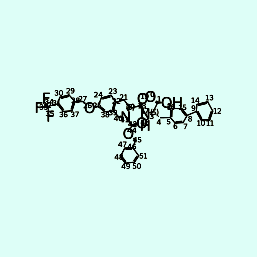 O=C(O)[C@H](Cc1ccc(-c2ccccc2)cc1)NC(=O)[C@@H]1Cc2ccc(OCc3ccc(C(F)(F)F)cc3)cc2CN1C(=O)OCc1ccccc1